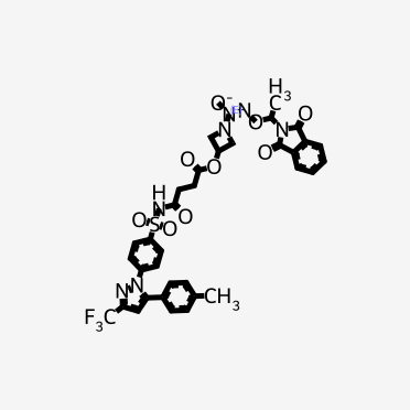 Cc1ccc(-c2cc(C(F)(F)F)nn2-c2ccc(S(=O)(=O)NC(=O)CCC(=O)OC3CN(/[N+]([O-])=N\OC(C)N4C(=O)c5ccccc5C4=O)C3)cc2)cc1